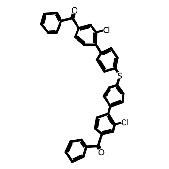 O=C(c1ccccc1)c1ccc(-c2ccc(Sc3ccc(-c4ccc(C(=O)c5ccccc5)cc4Cl)cc3)cc2)c(Cl)c1